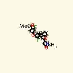 COC(=O)c1ccc(Oc2ccc(C(CC(=O)c3ccc(=O)n(C)c3)c3ccccc3C)c(F)c2)cc1F